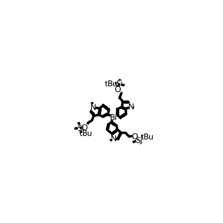 Cn1cc(CCO[Si](C)(C)C(C)(C)C)c2c[c]([Bi]([c]3ccc4c(c3)c(CCO[Si](C)(C)C(C)(C)C)cn4C)[c]3ccc4c(c3)c(CCO[Si](C)(C)C(C)(C)C)cn4C)ccc21